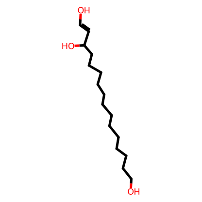 OC=CC(O)CCCCCCCCCCCCCO